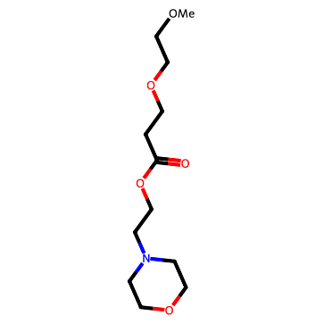 COCCOCCC(=O)OCCN1CCOCC1